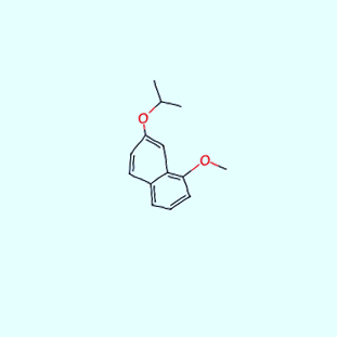 COc1cccc2ccc(OC(C)C)cc12